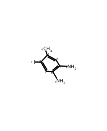 Cc1cc(N)c(N)cc1I